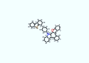 c1ccc2c(c1)oc1c2c2ccccc2c2c3ccccc3n(-c3ccc(-c4cccc5c4sc4ccccc45)cc3)c12